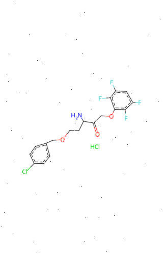 Cl.NC(CCOCc1ccc(Cl)cc1)C(=O)COc1c(F)c(F)cc(F)c1F